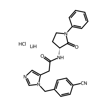 Cl.N#Cc1ccc(Cn2cncc2CC(=O)N[C@@H]2CCN(c3ccccc3)C2=O)cc1.[LiH]